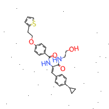 O=C(NCCO)/C(=C\c1ccc(C2CC2)cc1)NC(=O)c1ccc(OCCc2cccs2)cc1